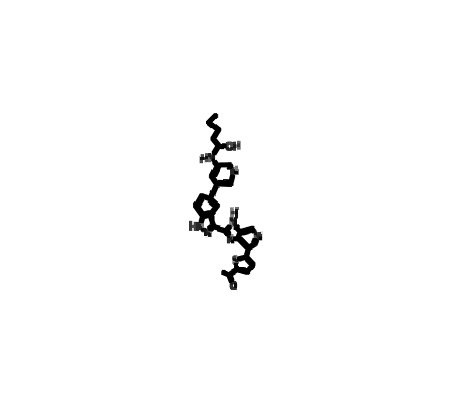 CCCCC(O)Nc1cncc(-c2ccc3[nH]nc(-c4nc5c(-c6ccc(C(C)=O)s6)cncc5[nH]4)c3c2)c1